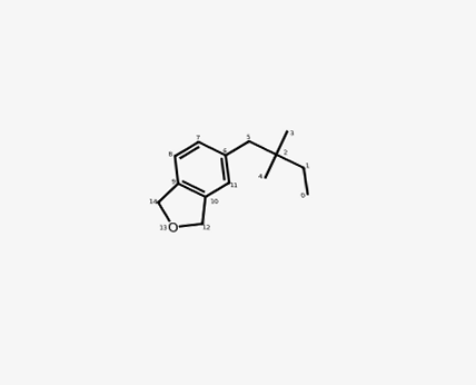 CCC(C)(C)Cc1ccc2c(c1)COC2